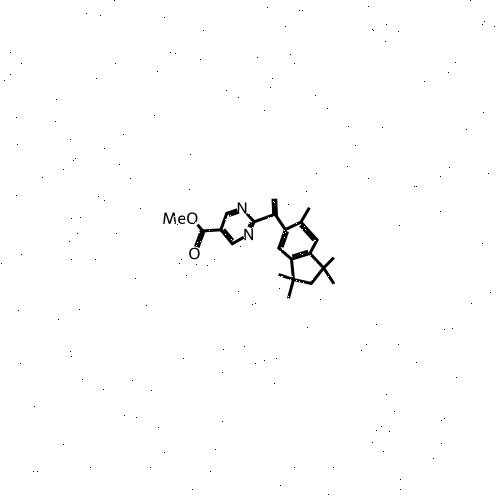 C=C(c1ncc(C(=O)OC)cn1)c1cc2c(cc1C)C(C)(C)CC2(C)C